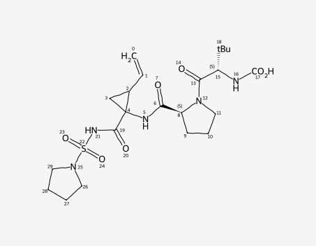 C=CC1CC1(NC(=O)[C@@H]1CCCN1C(=O)[C@@H](NC(=O)O)C(C)(C)C)C(=O)NS(=O)(=O)N1CCCC1